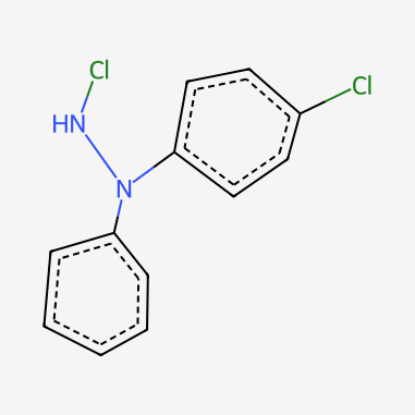 ClNN(c1ccccc1)c1ccc(Cl)cc1